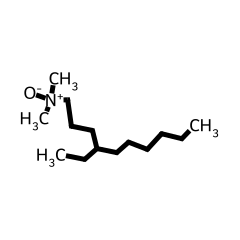 CCCCCCC(CC)CCC[N+](C)(C)[O-]